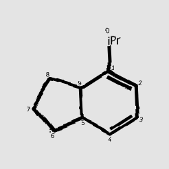 CC(C)C1=CC=CC2[C]CCC12